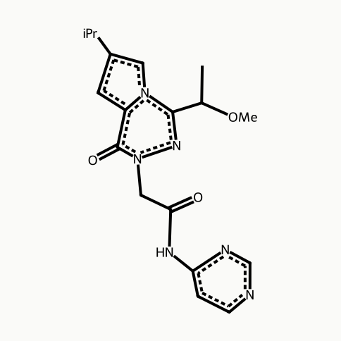 COC(C)c1nn(CC(=O)Nc2ccncn2)c(=O)c2cc(C(C)C)cn12